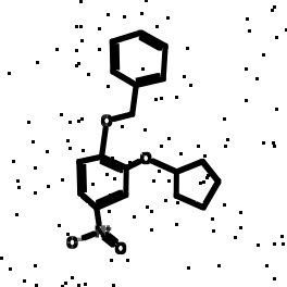 O=[N+]([O-])c1ccc(OCc2ccccc2)c(OC2CCCC2)c1